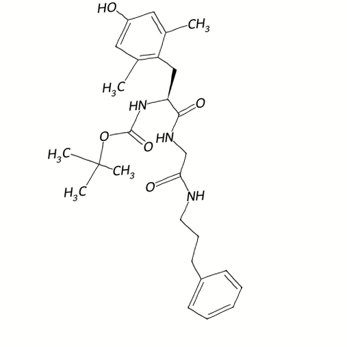 Cc1cc(O)cc(C)c1C[C@H](NC(=O)OC(C)(C)C)C(=O)NCC(=O)NCCCc1ccccc1